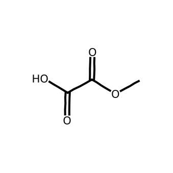 COC(=O)C(=O)O